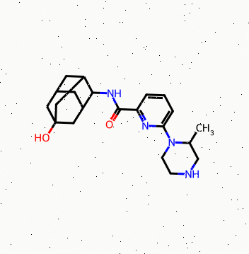 CC1CNCCN1c1cccc(C(=O)NC2C3CC4CC2CC(O)(C4)C3)n1